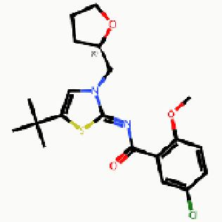 COc1ccc(Cl)cc1C(=O)N=c1sc(C(C)(C)C)cn1C[C@H]1CCCO1